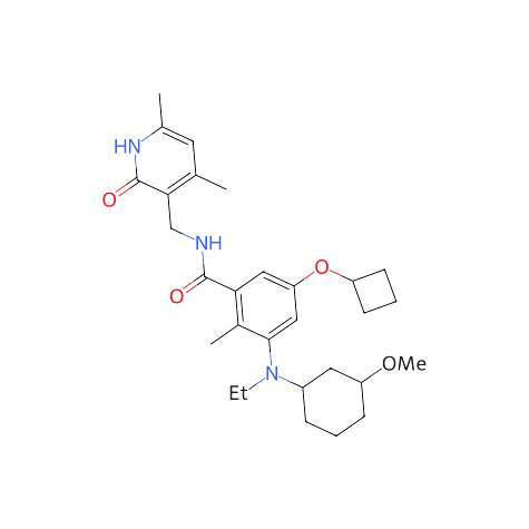 CCN(c1cc(OC2CCC2)cc(C(=O)NCc2c(C)cc(C)[nH]c2=O)c1C)C1CCCC(OC)C1